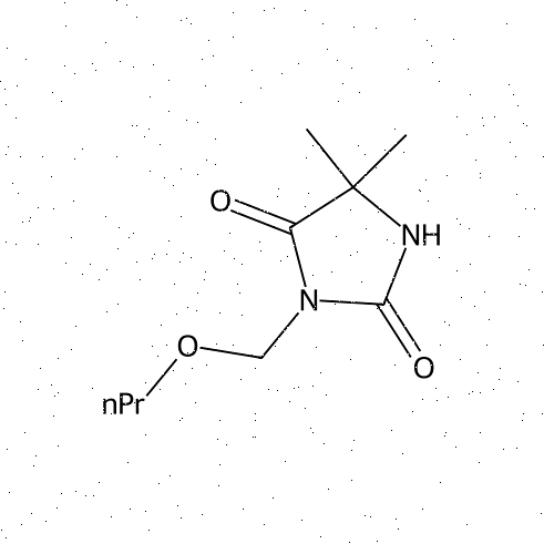 CCCOCN1C(=O)NC(C)(C)C1=O